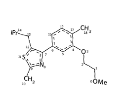 COCCOc1cc(-c2nc(C)sc2CC(C)C)ccc1C